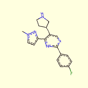 Cn1ccc(-c2nc(-c3ccc(F)cc3)ncc2C2CCNC2)n1